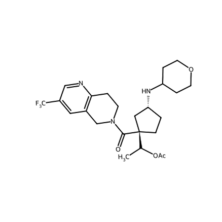 CC(=O)OC(C)[C@]1(C(=O)N2CCc3ncc(C(F)(F)F)cc3C2)CC[C@@H](NC2CCOCC2)C1